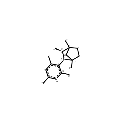 Cc1cc(C)c(N2[C@@H](C)C3(C)CCC2(C)C3)c(C)n1